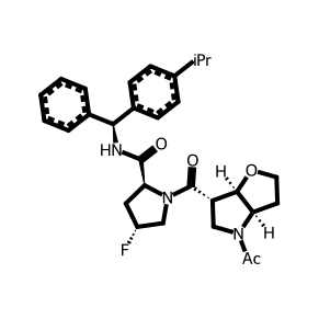 CC(=O)N1C[C@H](C(=O)N2C[C@H](F)C[C@H]2C(=O)N[C@@H](c2ccccc2)c2ccc(C(C)C)cc2)[C@H]2OCC[C@H]21